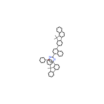 CC1(C)c2cc(-c3ccc(-c4nc(-c5ccccc5)cc(-c5cccc6c5C(C)(c5ccccc5)c5ccccc5-6)n4)c4ccccc34)ccc2-c2ccc3ccccc3c21